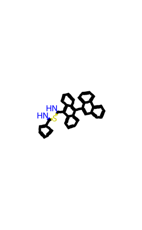 N=C(SC(=N)c1c2ccccc2c(-c2cc3ccccc3c3ccccc23)c2ccccc12)c1ccccc1